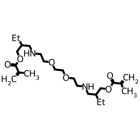 C=C(C)C(=O)OCC(CC)CNCCOCCOCCNCC(CC)COC(=O)C(=C)C